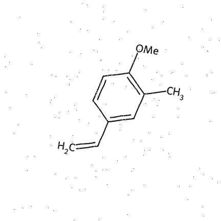 C=Cc1ccc(OC)c(C)c1